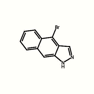 Brc1c2ccccc2cc2[nH]ncc12